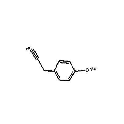 C#C[CH]c1ccc(OC)cc1